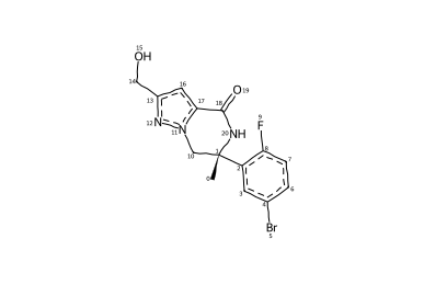 C[C@@]1(c2cc(Br)ccc2F)Cn2nc(CO)cc2C(=O)N1